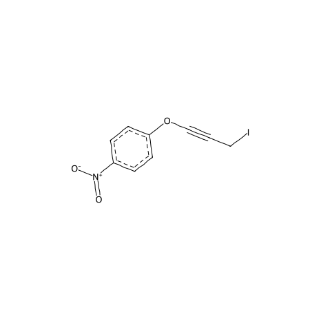 O=[N+]([O-])c1ccc(OC#CCI)cc1